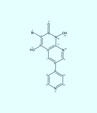 O=c1c(Br)c(O)c2cc(-c3ccncc3)cnc2n1O